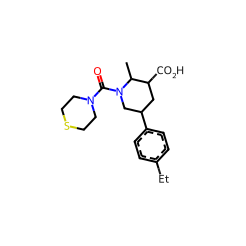 CCc1ccc(C2CC(C(=O)O)C(C)N(C(=O)N3CCSCC3)C2)cc1